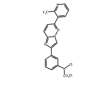 CCOC(=O)N(Cl)c1cccc(-c2cn3nc(-c4cccnc4C(F)(F)F)ccc3n2)c1